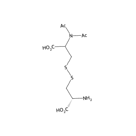 CC(=O)N(C(C)=O)C(CSSC[C@H](N)C(=O)O)C(=O)O